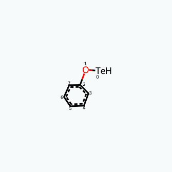 [TeH]Oc1ccccc1